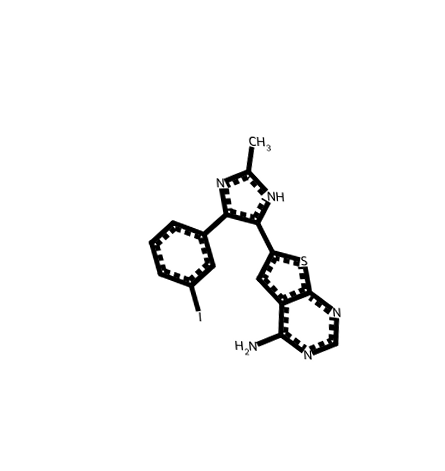 Cc1nc(-c2cccc(I)c2)c(-c2cc3c(N)ncnc3s2)[nH]1